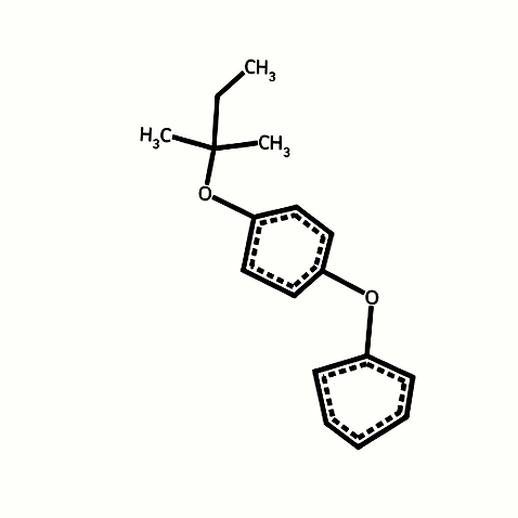 CCC(C)(C)Oc1ccc(Oc2ccccc2)cc1